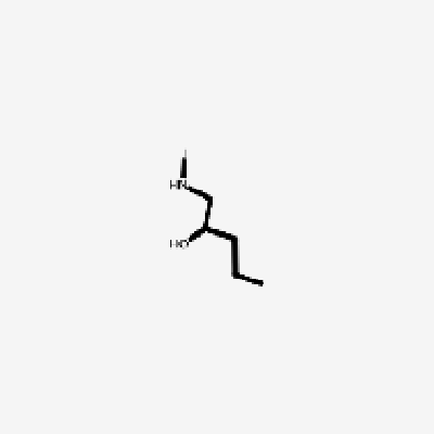 CCCC(O)CNI